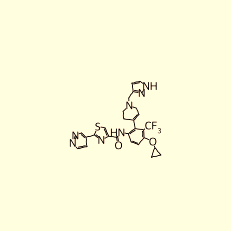 O=C(Nc1ccc(OC2CC2)c(C(F)(F)F)c1C1=CCN(Cc2cc[nH]n2)CC1)c1csc(-c2ccnnc2)n1